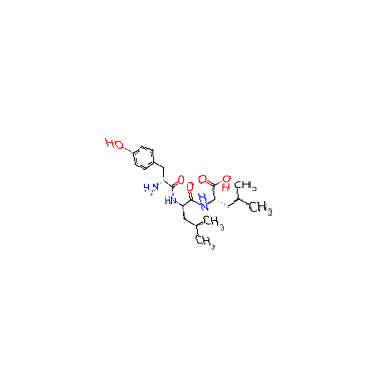 CC(C)C[C@H](NC(=O)[C@@H](CC(C)C)NC(=O)[C@H](N)Cc1ccc(O)cc1)C(=O)O